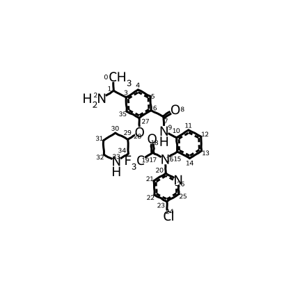 CC(N)c1ccc(C(=O)Nc2ccccc2N(C(=O)C(F)(F)F)c2ccc(Cl)cn2)c(OC2CCCNC2)c1